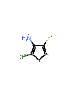 NC1=C(Cl)CC=C1F